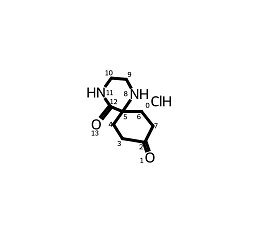 Cl.O=C1CCC2(CC1)NCCNC2=O